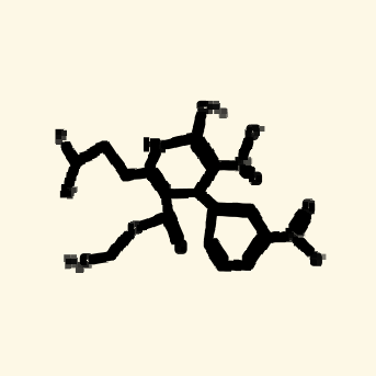 CCOC(=O)C1=C(CCC(F)Br)NC(C)=C([N+](=O)[O-])C1c1cccc([N+](=O)[O-])c1